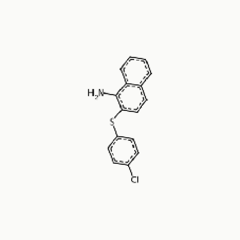 Nc1c(Sc2ccc(Cl)cc2)ccc2ccccc12